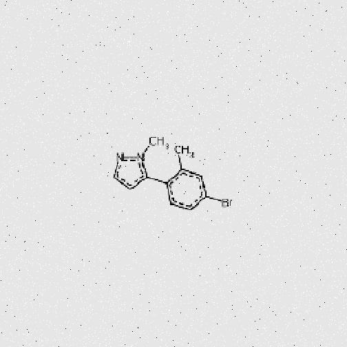 Cc1cc(Br)ccc1-c1ccnn1C